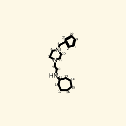 c1ccc(CN2CCN(CCNC3CCCCCC3)CC2)cc1